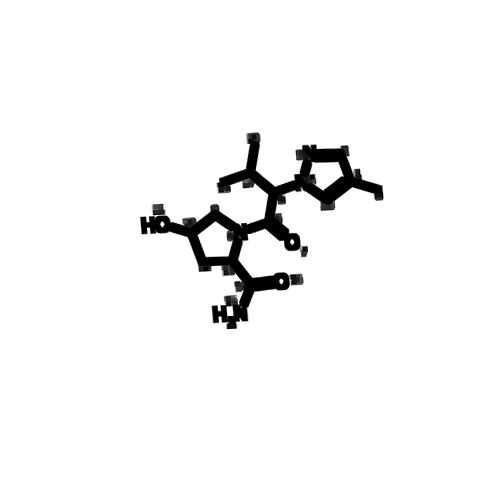 Cc1cnn(C(C(=O)N2CC(O)CC2C(N)=O)C(C)C)c1